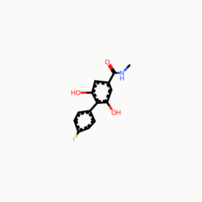 CNC(=O)c1cc(O)c(-c2ccc(F)cc2)c(O)c1